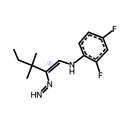 CCC(C)(C)/C(=C/Nc1ccc(F)cc1F)N=N